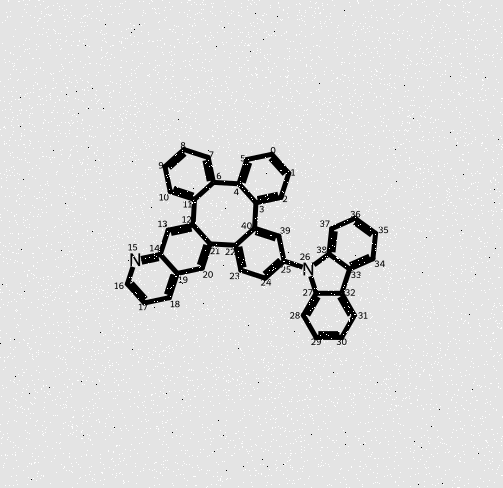 c1ccc2c(c1)-c1ccccc1-c1cc3ncccc3cc1-c1ccc(-n3c4ccccc4c4ccccc43)cc1-2